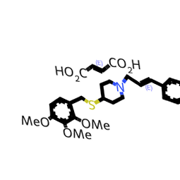 COc1ccc(CSC2CCN(C/C=C/c3ccccc3)CC2)c(OC)c1OC.O=C(O)/C=C/C(=O)O